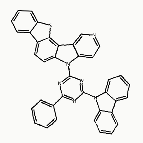 c1ccc(-c2nc(-n3c4ccccc4c4ccccc43)nc(-n3c4ccncc4c4c5sc6ccccc6c5ccc43)n2)cc1